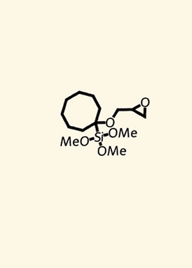 CO[Si](OC)(OC)C1(OCC2CO2)CCCCCCC1